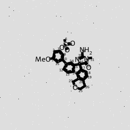 COc1cc(OS(C)(=O)=O)cc(-c2cccc(C3(c4ccc5c(c4)COCC5)N=C(N)N(C)C3=O)c2)c1